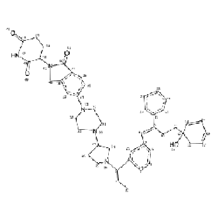 CCC(c1cccc(/C=C(\CCC2(O)C=CC=CC2)c2ccccc2)c1)N1CCC(N2CCN(c3ccc4c(c3)CN(C3CCC(=O)NC3=O)C4=O)CC2)C1